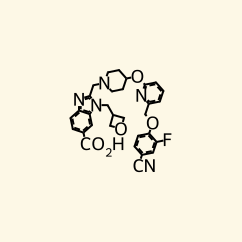 N#Cc1ccc(OCc2cccc(OC3CCN(Cc4nc5ccc(C(=O)O)cc5n4CC4COC4)CC3)n2)c(F)c1